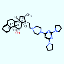 C[C@@H]1C[C@H]2[C@@H]3CCC4=CCC=C[C@]4(C)[C@H]3[C@H](O)C[C@]2(C)[C@H]1CCN1CCN(c2cc(N3CCCC3)nc(N3CCCC3)n2)CC1